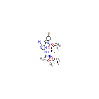 C[C@@H](CNc1cnc(C#N)c(-c2cc3cc(Br)ccc3n2C(=O)OC(C)(C)C)n1)NC(=O)OC(C)(C)C